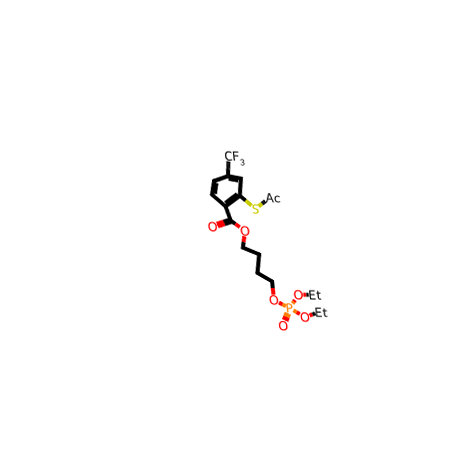 CCOP(=O)(OCC)OCCCCOC(=O)c1ccc(C(F)(F)F)cc1SC(C)=O